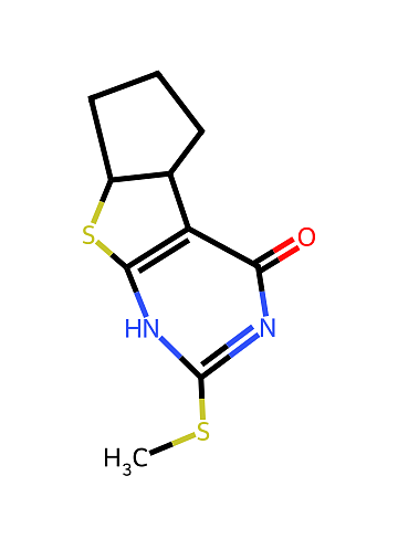 CSc1nc(=O)c2c([nH]1)SC1CCCC21